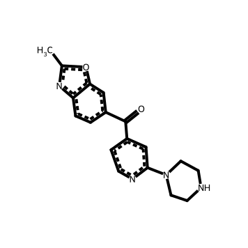 Cc1nc2ccc(C(=O)c3ccnc(N4CCNCC4)c3)cc2o1